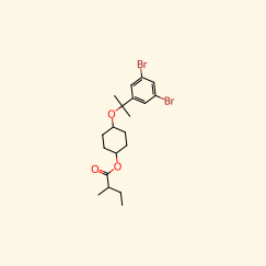 CCC(C)C(=O)OC1CCC(OC(C)(C)c2cc(Br)cc(Br)c2)CC1